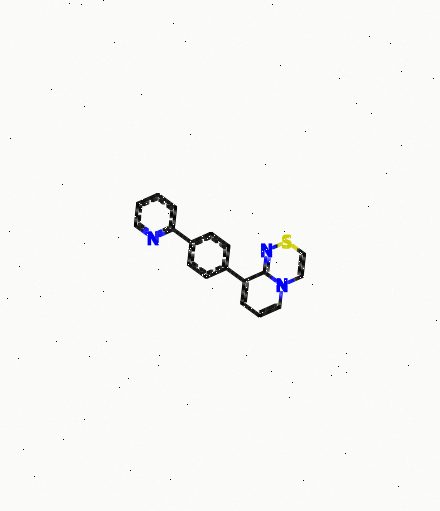 C1=CN2C=CSN=C2C(c2ccc(-c3ccccn3)cc2)=C1